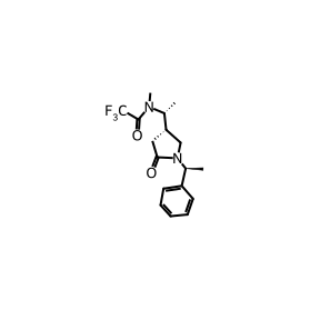 C[C@H]([C@H]1CC(=O)N([C@@H](C)c2ccccc2)C1)N(C)C(=O)C(F)(F)F